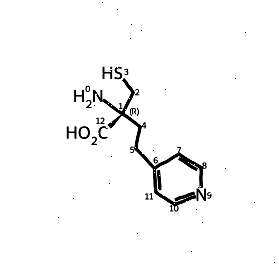 N[C@](CS)(CCc1ccncc1)C(=O)O